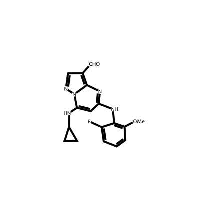 COc1cccc(F)c1Nc1cc(NC2CC2)n2ncc(C=O)c2n1